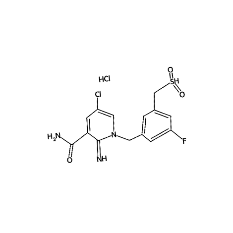 Cl.N=c1c(C(N)=O)cc(Cl)cn1Cc1cc(F)cc(C[SH](=O)=O)c1